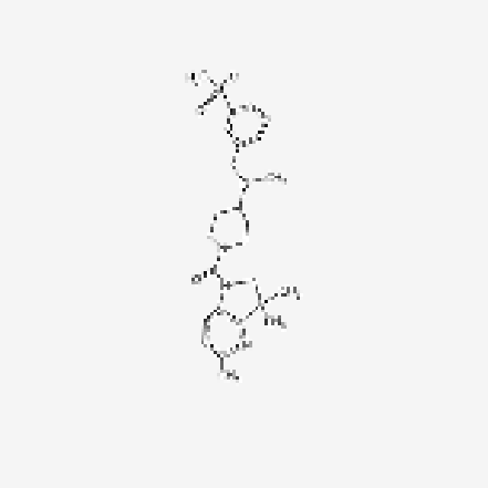 Cc1ccc2c(n1)C(C)(C)CN2C(=O)N1CCC(N(C)Cc2cccc(S(C)(=O)=O)c2)CC1